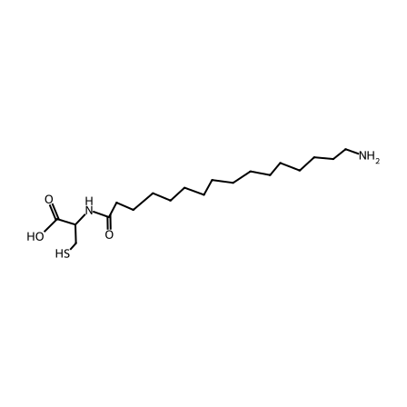 NCCCCCCCCCCCCCCCC(=O)NC(CS)C(=O)O